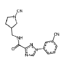 N#Cc1cccc(-n2cnc(C(=O)NCC3CCN(C#N)C3)n2)c1